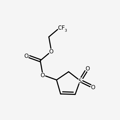 O=C(OCC(F)(F)F)OC1C=CS(=O)(=O)C1